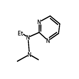 CCN(c1ncccn1)N(C)C